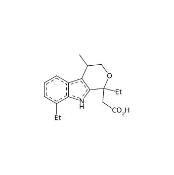 CCc1cccc2c3c([nH]c12)C(CC)(CC(=O)O)OCC3C